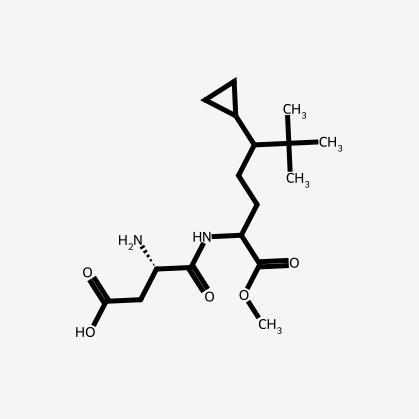 COC(=O)C(CCC(C1CC1)C(C)(C)C)NC(=O)[C@@H](N)CC(=O)O